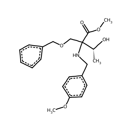 COC(=O)C(COCc1ccccc1)(NCc1ccc(OC)cc1)[C@@H](C)O